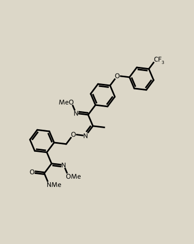 CNC(=O)C(=NOC)c1ccccc1CON=C(C)C(=NOC)c1ccc(Oc2cccc(C(F)(F)F)c2)cc1